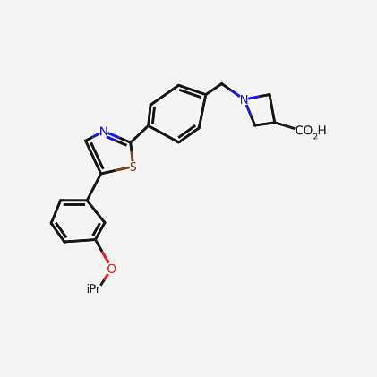 CC(C)Oc1cccc(-c2cnc(-c3ccc(CN4CC(C(=O)O)C4)cc3)s2)c1